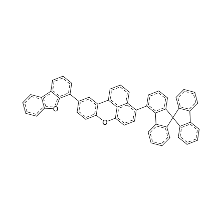 c1ccc2c(c1)-c1ccccc1C21c2ccccc2-c2c(-c3ccc4c5c(cccc35)-c3cc(-c5cccc6c5oc5ccccc56)ccc3O4)cccc21